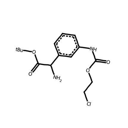 CC(C)(C)OC(=O)C(N)c1cccc(NC(=O)OCCCl)c1